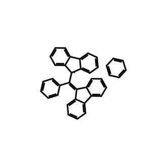 c1ccc(C([C]2c3ccccc3-c3ccccc32)=C2c3ccccc3-c3ccccc32)cc1.c1ccccc1